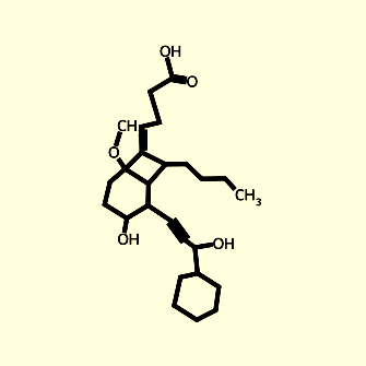 CCCCC1C(=CCCC(=O)O)C2(OC)CCC(O)C(C#CC(O)C3CCCCC3)C12